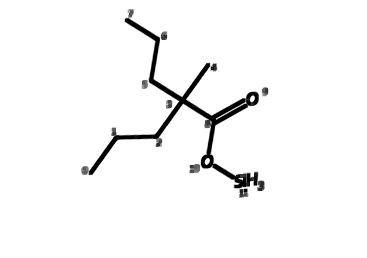 CCCC(C)(CCC)C(=O)O[SiH3]